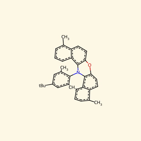 Cc1cc(C(C)(C)C)cc(C)c1N1c2c(ccc3c(C)cccc23)Oc2ccc3c(C)cccc3c21